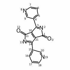 O=c1nc(-c2cccnc2)c2c(=O)nc(-c3cccnc3)c1=2